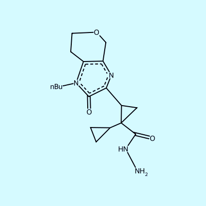 CCCCn1c2c(nc(C3CC3(C(=O)NN)C3CC3)c1=O)COCC2